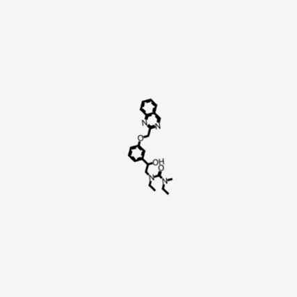 CCN(C)C(=O)N(CC)CC(O)c1cccc(OCc2ncc3ccccc3n2)c1